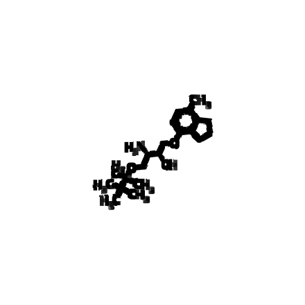 Cc1ccc(OC[C@@H](O)[C@@H](N)CO[Si](C)(C)C(C)(C)C)c2c1CCC2